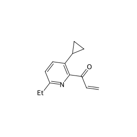 C=CC(=O)c1nc(CC)ccc1C1CC1